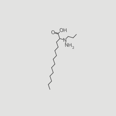 CCCCCCCCCCCCC(C(=O)O)N(N)CCC